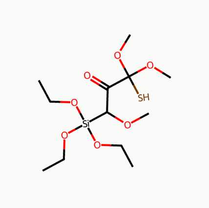 CCO[Si](OCC)(OCC)C(OC)C(=O)C(S)(OC)OC